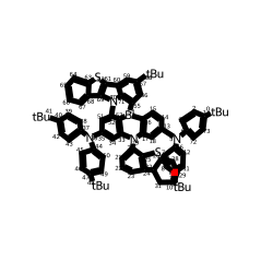 CC(C)(C)c1ccc(N(c2ccc(C(C)(C)C)cc2)c2ccc3c(c2)N(c2cccc4c2SC2=CC=CCC24)c2cc(N(c4ccc(C(C)(C)C)cc4)c4ccc(C(C)(C)C)cc4)cc4c2B3c2cc(C(C)(C)C)cc3c5sc6ccccc6c5n-4c23)cc1